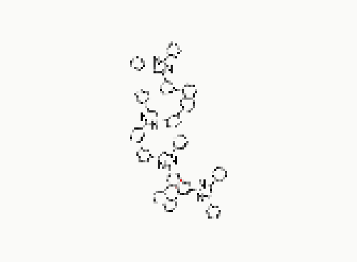 c1ccc(-c2cc(-c3cccc(-c4cccc5ccc(-c6cccc(-c7cc(-c8ccccc8)nc(-c8cccc(-c9cccc(-c%10cc(-c%11ccccc%11)nc(-c%11cccc(-c%12cccc%13cccc(-c%14cccc(-c%15nc(-c%16ccccc%16)cc(-c%16ccccc%16)n%15)c%14)c%12%13)c%11)n%10)c9)c8)n7)c6)cc45)c3)nc(-c3ccccc3)n2)cc1